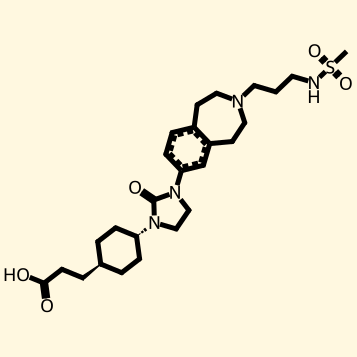 CS(=O)(=O)NCCCN1CCc2ccc(N3CCN([C@H]4CC[C@H](CCC(=O)O)CC4)C3=O)cc2CC1